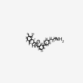 Cc1ccc(F)c(CC(C)C(=O)Nc2cccc(N3CCC(CCCN)CC3)c2)c1C